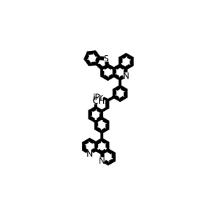 Cc1ccc2cc(-c3cc4cccnc4c4ncccc34)ccc2c1/C=C(/c1cccc(-c2nc3ccccc3c3c2ccc2c4ccccc4sc23)c1)C(C)C